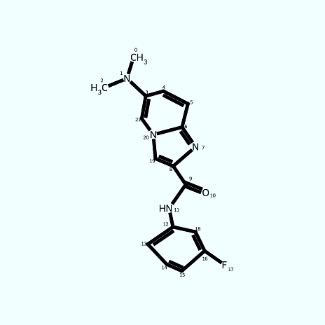 CN(C)c1ccc2nc(C(=O)Nc3cccc(F)c3)cn2c1